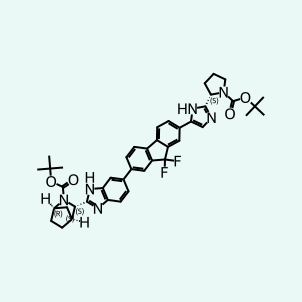 CC(C)(C)OC(=O)N1CCC[C@H]1c1ncc(-c2ccc3c(c2)C(F)(F)c2cc(-c4ccc5nc([C@@H]6[C@H]7CC[C@H](C7)N6C(=O)OC(C)(C)C)[nH]c5c4)ccc2-3)[nH]1